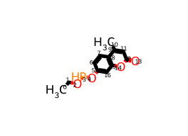 CCOPOc1ccc2c(C)cc(=O)oc2c1